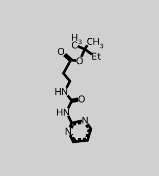 CCC(C)(C)OC(=O)CCNC(=O)Nc1ncccn1